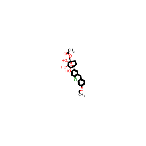 CCOc1ccc(Cc2cc([C@]34CC[C@](COC(C)=O)(O3)[C@@H](O)[C@H](O)[C@H]4O)ccc2Cl)cc1